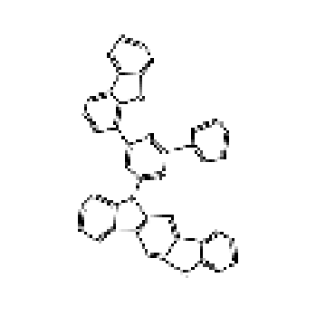 c1ccc(-c2nc(-c3cccc4c3sc3ccccc34)cc(-n3c4ccccc4c4cc5oc6ccccc6c5cc43)n2)cc1